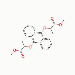 COC(=O)C(C)Oc1c2ccccc2c(OC(C)C(=O)OC)c2ccccc12